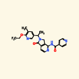 Cc1cc(C(C)N2Cc3c(ccnc3NC(=O)c3ccncc3)C2=O)cnc1OCC(F)(F)F